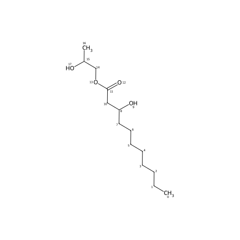 CCCCCCCCC(O)CC(=O)OCC(C)O